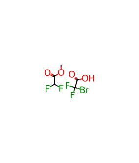 COC(=O)C(F)F.O=C(O)C(F)(F)Br